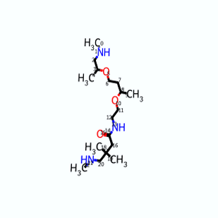 CNCC(C)OCCC(C)OCCNC(=O)CC(C)(C)CNC